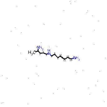 CC(N)CCCNCCCCCCCN